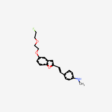 CNc1ccc(C=Cc2cc3cc(OCCOCCF)ccc3o2)cc1